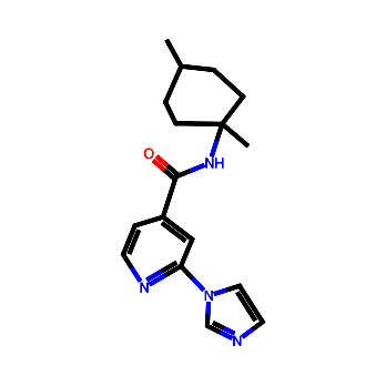 CC1CCC(C)(NC(=O)c2ccnc(-n3ccnc3)c2)CC1